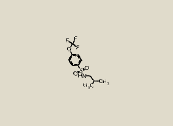 CC(C)CNS(=O)(=O)c1ccc(OC(F)(F)F)cc1